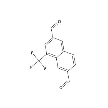 O=Cc1cc(C(F)(F)F)c2cc(C=O)ccc2c1